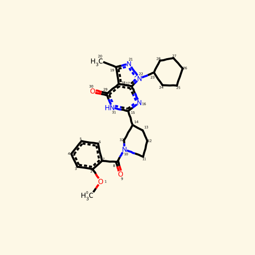 COc1ccccc1C(=O)N1CCCC(c2nc3c(c(C)nn3C3CCCCC3)c(=O)[nH]2)C1